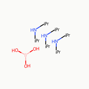 CC(C)NC(C)C.CC(C)NC(C)C.CC(C)NC(C)C.OB(O)O